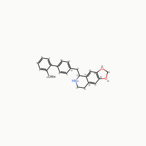 COc1ccccc1-c1ccc(CC2NCCc3cc4c(cc32)OCO4)cc1